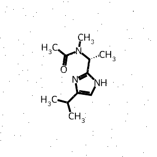 CC(=O)N(C)[C@H](C)c1nc(C(C)C)c[nH]1